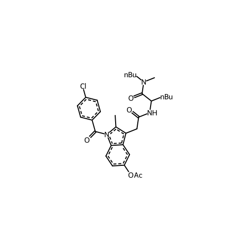 CCCCC(NC(=O)Cc1c(C)n(C(=O)c2ccc(Cl)cc2)c2ccc(OC(C)=O)cc12)C(=O)N(C)CCCC